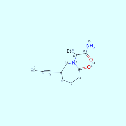 CCC#CC1CCCC(=O)N(C(CC)C(N)=O)C1